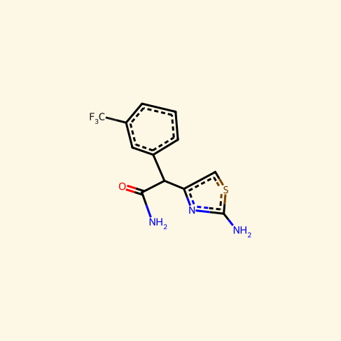 NC(=O)C(c1cccc(C(F)(F)F)c1)c1csc(N)n1